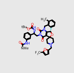 CNC(=O)Nc1cccc(C(Cn2c(=O)c3c(n(Cc4c(C)cccc4F)c2=O)COC32CCN(Cc3ccc(C(F)(F)F)o3)CC2)NC(=O)OC(C)(C)C)c1